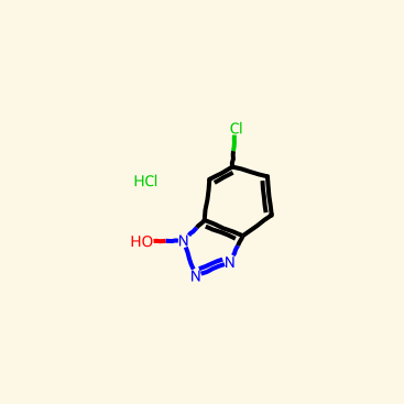 Cl.On1nnc2ccc(Cl)cc21